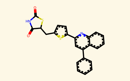 O=C1NC(=O)C(Cc2ccc(-c3cc(-c4ccccc4)c4ccccc4n3)s2)S1